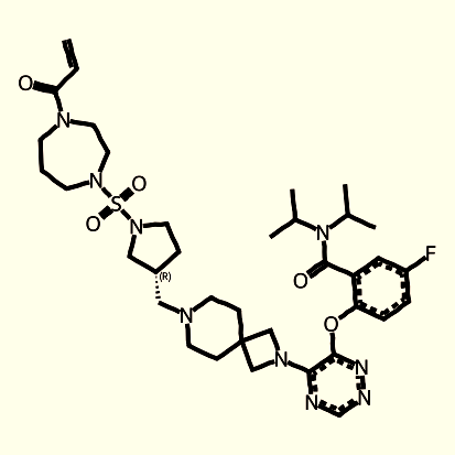 C=CC(=O)N1CCCN(S(=O)(=O)N2CC[C@H](CN3CCC4(CC3)CN(c3ncnnc3Oc3ccc(F)cc3C(=O)N(C(C)C)C(C)C)C4)C2)CC1